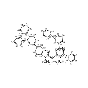 C=c1/c(=C(\C=C/C)c2nc(-c3ccccc3)nc(-c3cccc(-c4ccccc4)c3)n2)oc2cc(-c3ccc4c5ccccc5c5ccccc5c4c3)ccc12